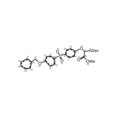 CCCCCCCCCCC(Oc1ccc(S(=O)(=O)c2ccc(OCc3ccccc3)cc2)cc1)C(=O)OC